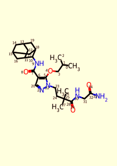 CC(C)COc1c(C(=O)NC2C3CC4CC(C3)CC2C4)cnn1CCC(C)(C)C(=O)NCC(N)=O